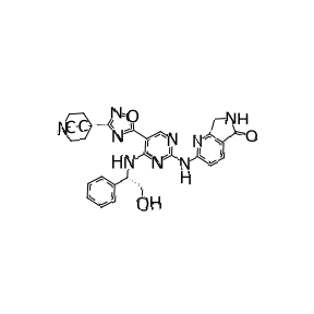 O=C1NCc2nc(Nc3ncc(-c4nc(C56CCN(CC5)CC6)no4)c(N[C@H](CO)c4ccccc4)n3)ccc21